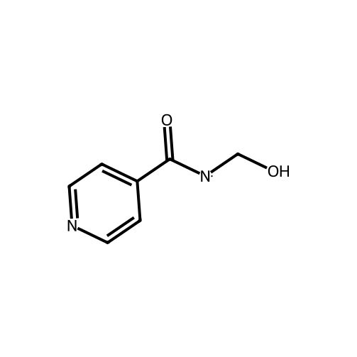 O=C([N]CO)c1ccncc1